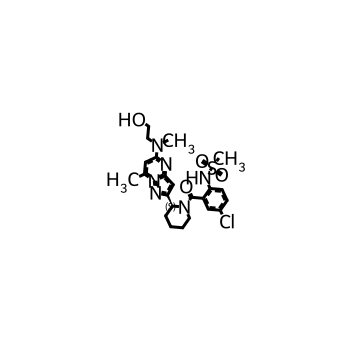 Cc1cc(N(C)CCO)nc2cc([C@@H]3CCCCN3C(=O)c3cc(Cl)ccc3NS(C)(=O)=O)nn12